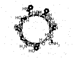 CCCC[C@H]1C(=O)N(C)[C@@H](CCCC)C(=O)N[C@@H](Cc2cccnc2)C(=O)N[C@H](C(=O)NCC(N)=O)CSCC(=O)N[C@@H](Cc2ccc(O)cc2)C(=O)N(C)[C@@H](C)C(=O)N[C@@H](CC(N)=O)C(=O)N2CCC[C@H]2C(=O)N[C@@H](Cc2cnc[nH]2)C(=O)N[C@@H](CC(C)C)C(=O)N2C[C@H](O)CC2C(=O)N[C@@H](CCc2c[nH]c3ccccc23)C(=O)N[C@@H](CO)C(=O)N[C@@H](Cc2c[nH]c3ccccc23)C(=O)N1C